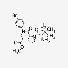 COC(=O)CCN(C(=O)[C@@H]1CCCN1C(=O)[C@@H](N)C(C)(C)C)c1ccc(Br)cc1